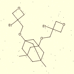 CCC1(COC23CC4(C)CC(C)(C2)CC(OCC2(CC)COC2)(C4)C3)COC1